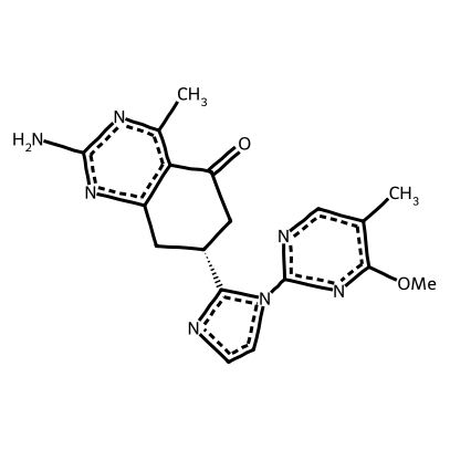 COc1nc(-n2ccnc2[C@H]2CC(=O)c3c(C)nc(N)nc3C2)ncc1C